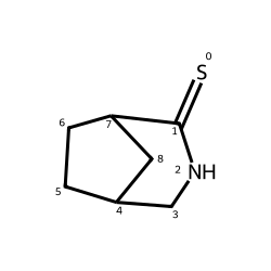 S=C1NCC2CCC1C2